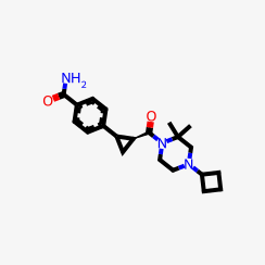 CC1(C)CN(C2CCC2)CCN1C(=O)[C@H]1CC1c1ccc(C(N)=O)cc1